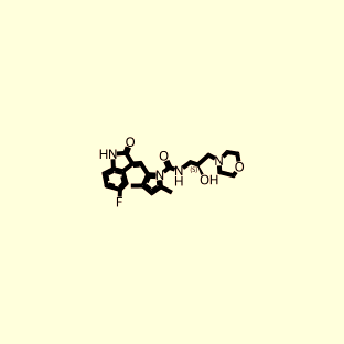 Cc1cc(C)n(C(=O)NC[C@H](O)CN2CCOCC2)c1C=C1C(=O)Nc2ccc(F)cc21